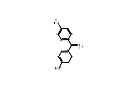 C=C(C1=CC=C(O)CC1)c1ccc(O)cc1